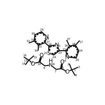 CC(C)(C)OC(=O)CNCC(=O)OC(C)(C)C.Cc1ccnc(-c2csc(-c3nccc(C)c3C)n2)c1C